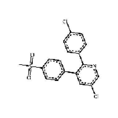 CS(=O)(=O)c1ccc(-c2cc(Cl)cnc2-c2ccc(Cl)cc2)cc1